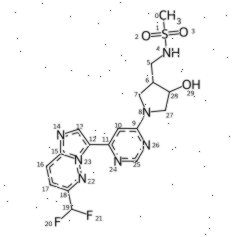 CS(=O)(=O)NCC1CN(c2cc(-c3cnc4ccc(C(F)F)nn34)ncn2)CC1O